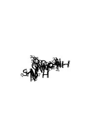 CSCCn1nccc1C(=O)N[C@H](C(=O)Nc1ccc(-c2c(C)n[nH]c2C)cc1)C1CCC(C)CC1